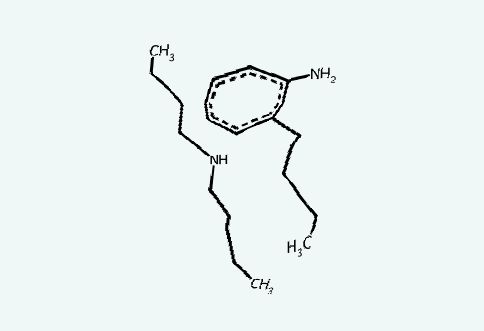 CCCCNCCCC.CCCCc1ccccc1N